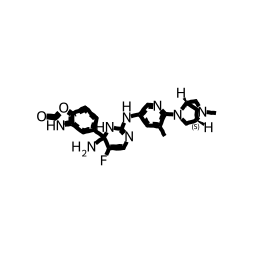 Cc1cc(NC2=NC=C(F)C(N)(c3ccc4oc(=O)[nH]c4c3)N2)cnc1N1C[C@@H]2C[C@H]1CN2C